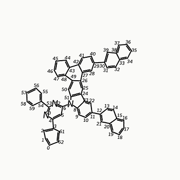 c1ccc(-c2cc(-n3c4ccc(-c5ccc6ccccc6c5)cc4c4cc5c6cc(-c7ccc8ccccc8c7)ccc6c6ccccc6c5cc43)nc(-c3ccccc3)n2)cc1